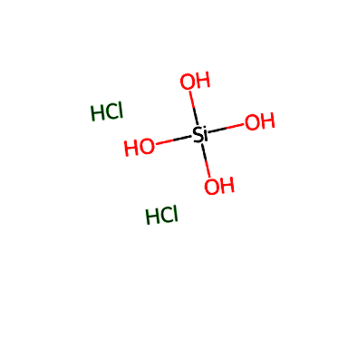 Cl.Cl.O[Si](O)(O)O